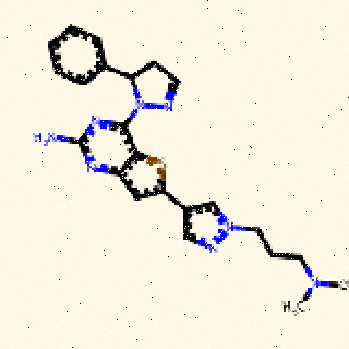 CN(C)CCCn1cc(-c2cc3nc(N)nc(N4N=CCC4c4ccccc4)c3s2)cn1